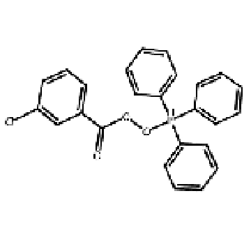 O=C(OO[PH](c1ccccc1)(c1ccccc1)c1ccccc1)c1cccc(Cl)c1